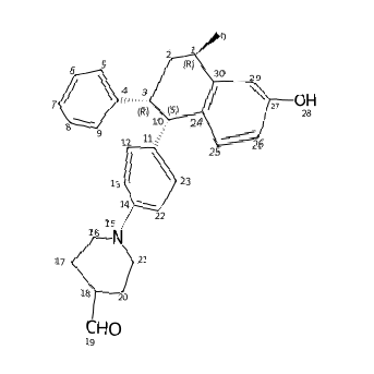 C[C@@H]1C[C@@H](c2ccccc2)[C@@H](c2ccc(N3CCC(C=O)CC3)cc2)c2ccc(O)cc21